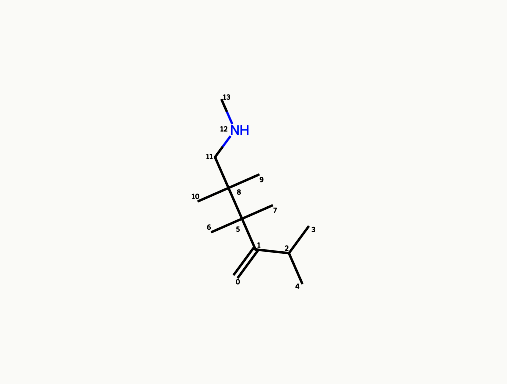 C=C(C(C)C)C(C)(C)C(C)(C)CNC